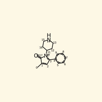 CC1=CC(c2ccccc2)=[N+](C2CCNCC2)C1=O